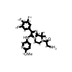 COc1ccc(Nc2c(-c3cc(F)c(F)c(F)c3)nc3n2CCN(C(=O)CN)C3(C)C)cn1